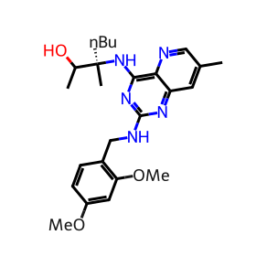 CCCC[C@@](C)(Nc1nc(NCc2ccc(OC)cc2OC)nc2cc(C)cnc12)C(C)O